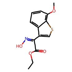 CCOC(=O)C(=NO)c1csc2c(OC)cccc12